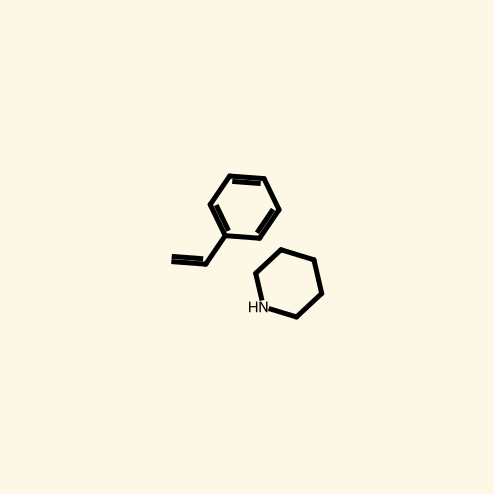 C1CCNCC1.C=Cc1ccccc1